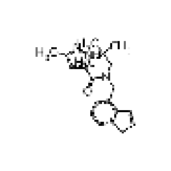 Cc1cc(C(=O)N(Cc2cccc3c2C=CC3)CC(C)(C)C)[nH]n1